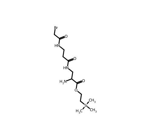 C[Si](C)(C)CCOC(=O)C(N)CNC(=O)CCNC(=O)CBr